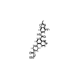 Cc1nc2c(F)cc(NC(=O)c3ccc(N4CCN(C(=O)OC(C)(C)C)CC4)c4ccnnc34)cc2o1